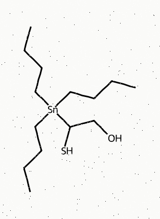 CCC[CH2][Sn]([CH2]CCC)([CH2]CCC)[CH](S)CO